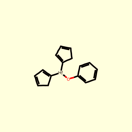 C1=CC[C]([Hf]([O]c2ccccc2)[C]2=CC=CC2)=C1